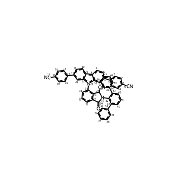 N#Cc1ccc(-c2ccc3c4ccc(-c5ccc(C#N)cc5)cc4n(-c4cccc5c4C(O)N(c4c(-c6ccccc6)cccc4-c4ccccc4)C5=O)c3c2)cc1